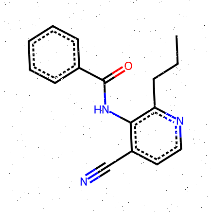 CCCc1nccc(C#N)c1NC(=O)c1ccccc1